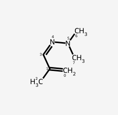 C=C(C)/C=N\N(C)C